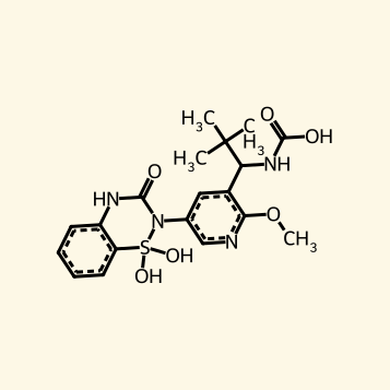 COc1ncc(N2C(=O)Nc3ccccc3S2(O)O)cc1C(NC(=O)O)C(C)(C)C